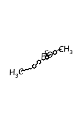 CCCCCCC[C@H]1CC[C@H]([C@H]2CC[C@H](CCc3ccc(OC[C@H]4CC[C@H](CCC)CC4)c(F)c3F)CC2)CC1